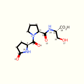 O=C1CC[C@@H](C(=O)N2CCC[C@H]2C(=O)N[C@@H](CO)C(=O)O)N1